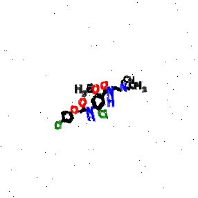 CCN(CC)CCNC(=O)c1cc(Cl)c(NC(=O)COc2ccc(Cl)cc2)cc1OC